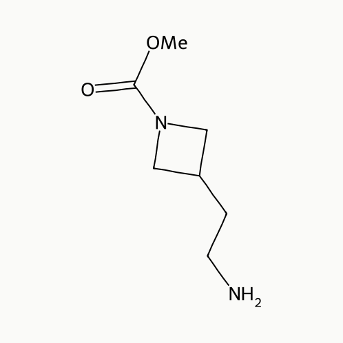 COC(=O)N1CC(CCN)C1